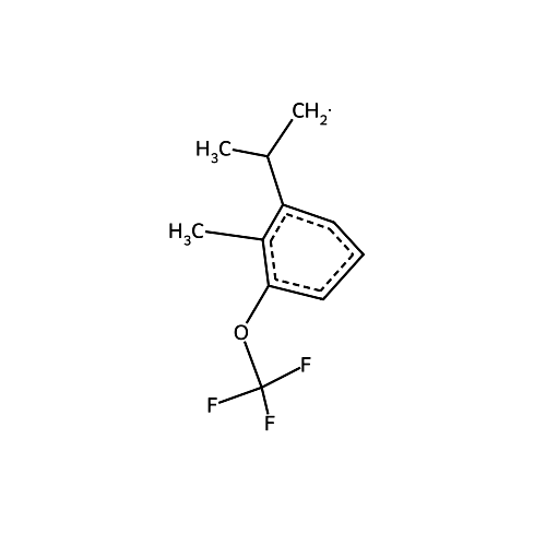 [CH2]C(C)c1cccc(OC(F)(F)F)c1C